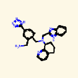 NCc1cc(-c2nnn[nH]2)ccc1CN(Cc1nc2ccccc2[nH]1)C1CCCc2cccnc21